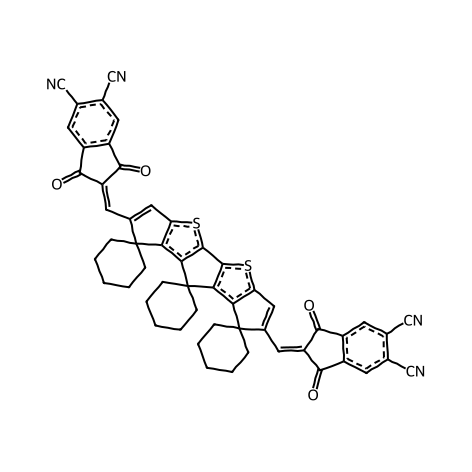 N#Cc1cc2c(cc1C#N)C(=O)C(=CC1=Cc3sc4c(c3C13CCCCC3)C1(CCCCC1)c1c-4sc3c1C1(CCCCC1)C(C=C1C(=O)c4cc(C#N)c(C#N)cc4C1=O)=C3)C2=O